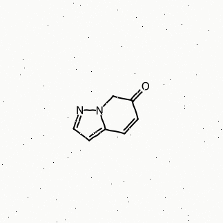 O=C1C=Cc2ccnn2C1